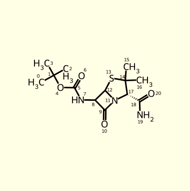 CC(C)(C)OC(=O)NC1C(=O)N2C1SC(C)(C)[C@@H]2C(N)=O